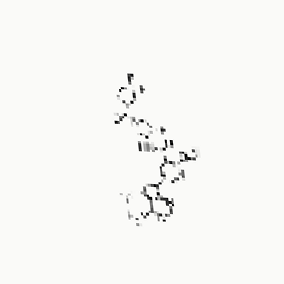 [2H]COc1ncc(-c2cc(C(F)(F)F)c3c(N)ncnn23)cc1C(=O)N[C@@H]1CN(C(=O)C2CCC(F)(F)C2)C[C@@H]1F